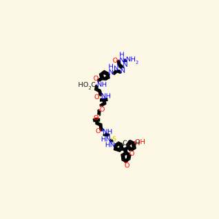 CC(C)(CCOCCOC(C)(C)CCC(=O)NCCNC(=S)Nc1ccc(-c2c3ccc(=O)cc-3oc3cc(O)ccc23)c(C(=O)O)c1)NC(=O)CC[C@H](NC(=O)c1ccc(NCc2cnc3nc(N)[nH]c(=O)c3n2)cc1)C(=O)O